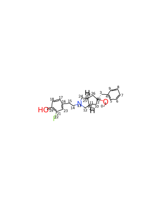 CO[C@@]1(Cc2ccccc2)C[C@H]2CN(CCc3ccc(O)c(F)c3)C[C@H]2C1